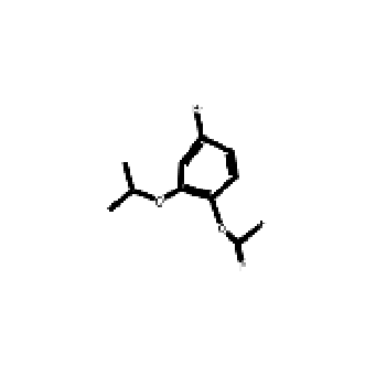 CC(C)Oc1cc(Br)ccc1OC(F)F